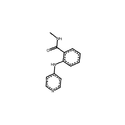 CNC(=O)c1ccccc1Nc1ccncc1